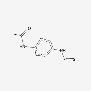 CC(=O)Nc1ccc(N[C]=S)cc1